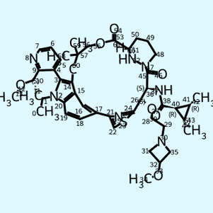 CCn1c(-c2cccnc2[C@H](C)OC)c2c3cc(ccc31)-c1csc(n1)[C@@H](OCCN1CC(OC)C1)[C@H](NC(=O)[C@H]1[C@H](C)[C@@H]1C)C(=O)N1CCC[C@H](N1)C(=O)OCC(C)(C)C2